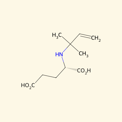 C=CC(C)(C)N[C@@H](CCC(=O)O)C(=O)O